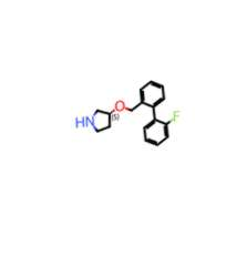 Fc1ccccc1-c1ccccc1CO[C@H]1CCNC1